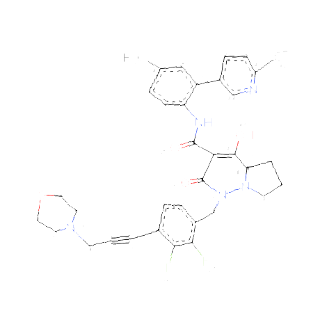 C[C@]12CCCN1N(Cc1ccc(C#CCN3CCOCC3)c(F)c1F)C(=O)C(C(=O)Nc1ccc(C(F)(F)F)cc1-c1ccc(C(F)(F)F)nc1)=C2O